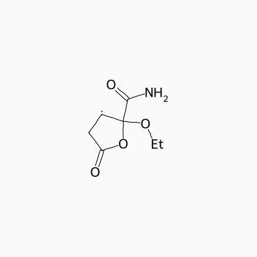 CCOC1(C(N)=O)[CH]CC(=O)O1